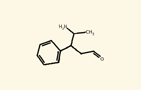 CC(N)C(CC=O)c1ccccc1